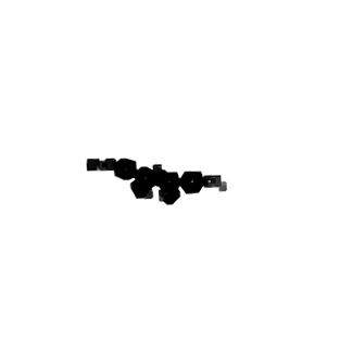 COc1ccc(-c2cc3sc4cc(-c5ccc(C)cc5)c5ccsc5c4c3c3sccc23)cc1